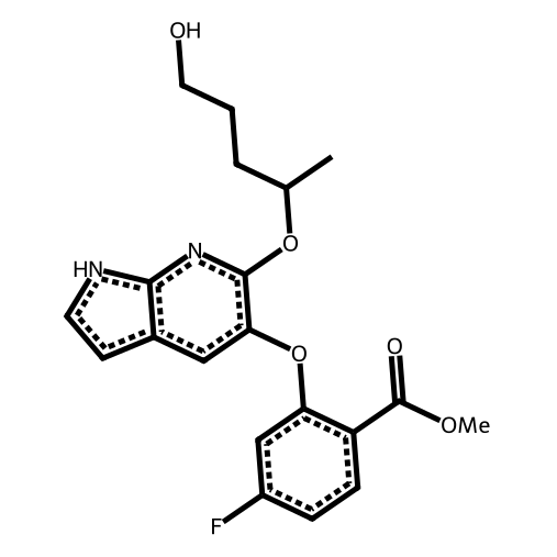 COC(=O)c1ccc(F)cc1Oc1cc2cc[nH]c2nc1OC(C)CCCO